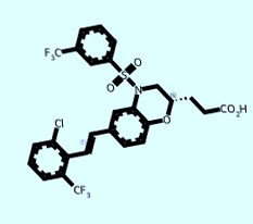 O=C(O)CC[C@H]1CN(S(=O)(=O)c2cccc(C(F)(F)F)c2)c2cc(/C=C/c3c(Cl)cccc3C(F)(F)F)ccc2O1